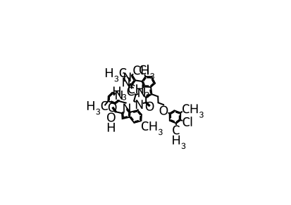 Cc1ccnc(Cn2c(C(=O)O)cc3cc(C)cc(N4CC(C)n5c(c(CCCOc6cc(C)c(Cl)c(C)c6)c6ccc(Cl)c(-c7c(C)nn(C)c7C)c65)C4=O)c32)c1